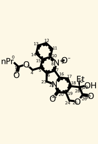 CCCC(=O)OCc1c2c([n+]([O-])c3ccccc13)-c1cc3c(c(=O)n1C2)COC(=O)[C@]3(O)CC